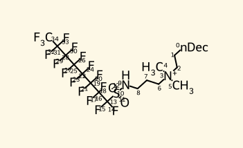 CCCCCCCCCCCC[N+](C)(C)CCCNS(=O)(=O)C(F)(F)C(F)(F)C(F)(F)C(F)(F)C(F)(F)C(F)(F)C(F)(F)C(F)(F)F